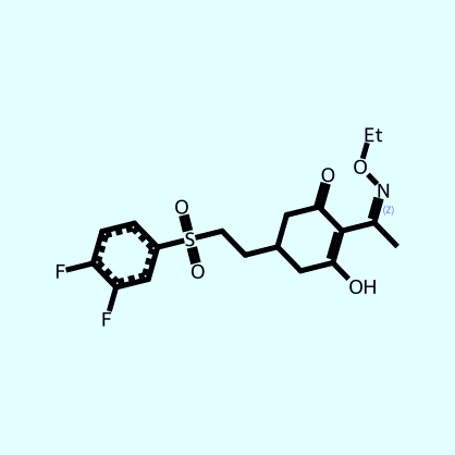 CCO/N=C(/C)C1=C(O)CC(CCS(=O)(=O)c2ccc(F)c(F)c2)CC1=O